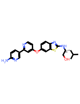 CC(C)C[C@H](CO)Nc1nc2ccc(Oc3ccnc(-c4ccc(N)nc4)c3)cc2s1